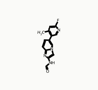 Cc1cc(F)ncc1-c1ccc2nc(NC=O)cn2c1